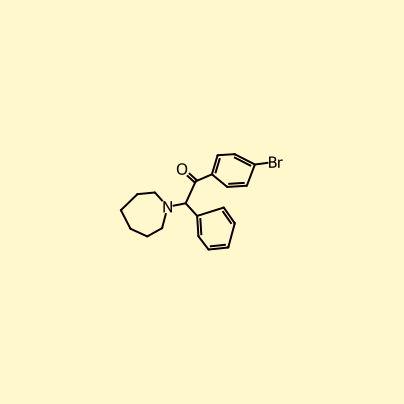 O=C(c1ccc(Br)cc1)C(c1ccccc1)N1CCCCCC1